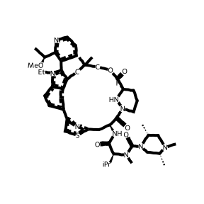 CCn1c(-c2cccnc2[C@H](C)OC)c2c3cc(ccc31)-c1csc(n1)C[C@H](NC(=O)[C@H](C(C)C)N(C)C(=O)N1C[C@@H](C)N(C)C[C@H]1C)C(=O)N1CCC[C@H](N1)C(=O)OCC(C)(C)C2